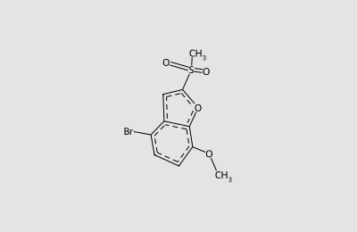 COc1ccc(Br)c2cc(S(C)(=O)=O)oc12